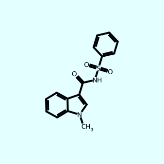 Cn1cc(C(=O)NS(=O)(=O)c2ccccc2)c2ccccc21